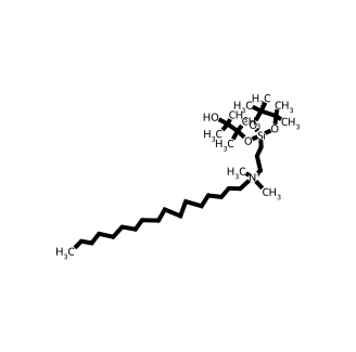 CCCCCCCCCCCCCCCCC[N+](C)(C)CCC[Si]1(OC(C)(C)C(C)(C)O)OC(C)(C)C(C)(C)O1